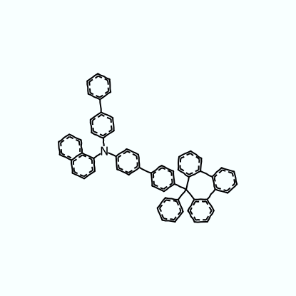 c1ccc(-c2ccc(N(c3ccc(-c4ccc(C5(c6ccccc6)c6ccccc6-c6ccccc6-c6ccccc65)cc4)cc3)c3cccc4ccccc34)cc2)cc1